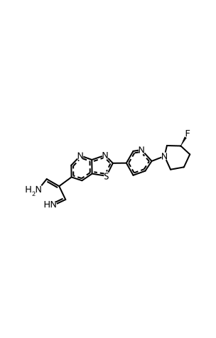 N=C/C(=C\N)c1cnc2nc(-c3ccc(N4CCC[C@H](F)C4)nc3)sc2c1